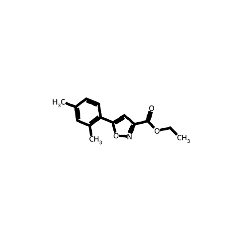 CCOC(=O)c1cc(-c2ccc(C)cc2C)on1